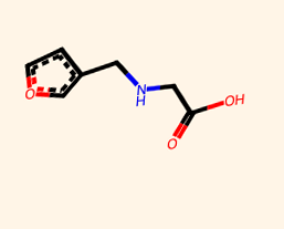 O=C(O)CNCc1ccoc1